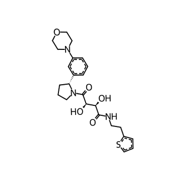 O=C(NCCc1cccs1)[C@H](O)[C@@H](O)C(=O)N1CCC[C@@H]1c1cccc(N2CCOCC2)c1